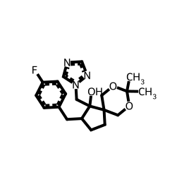 CC1(C)OCC2(CCC(Cc3ccc(F)cc3)C2(O)Cn2cncn2)CO1